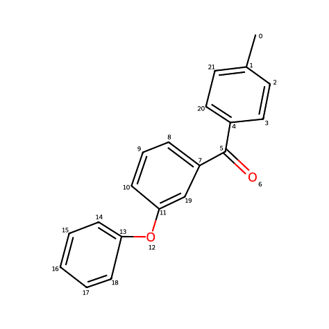 Cc1ccc(C(=O)c2cccc(Oc3ccccc3)c2)cc1